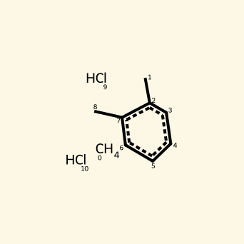 C.Cc1ccccc1C.Cl.Cl